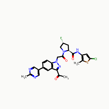 CC(=O)c1nn(CC(=O)N2C[C@H](F)C[C@H]2C(=O)Nc2cc(Cl)sc2C)c2ccc(-c3cnc(C)nc3)cc12